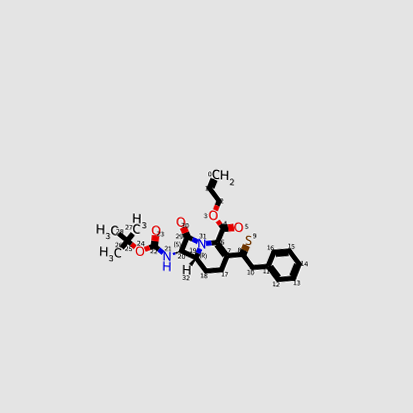 C=CCOC(=O)C1=C(C(=S)Cc2ccccc2)CC[C@@H]2[C@H](NC(=O)OC(C)(C)C)C(=O)N12